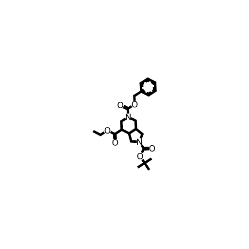 CCOC(=O)C1CN(C(=O)OCc2ccccc2)CC2CN(C(=O)OC(C)(C)C)CC21